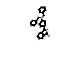 O=C1OC(c2ccc(N(Cc3ccccc3)Cc3ccccc3)cc2)c2ccccc21